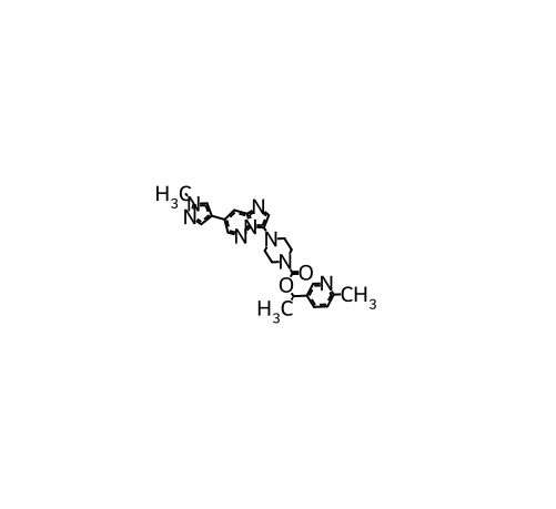 Cc1ccc([C@@H](C)OC(=O)N2CCN(c3cnc4cc(-c5cnn(C)c5)cnn34)CC2)cn1